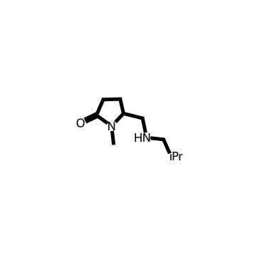 CC(C)CNCC1CCC(=O)N1C